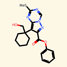 CSc1ncn2nc(C(=O)Oc3ccccc3)c(C3(CO)CCCCC3)c2n1